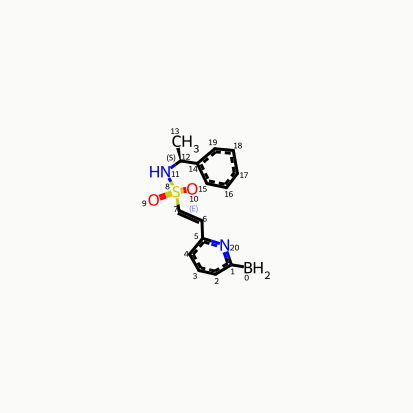 Bc1cccc(/C=C/S(=O)(=O)N[C@@H](C)c2ccccc2)n1